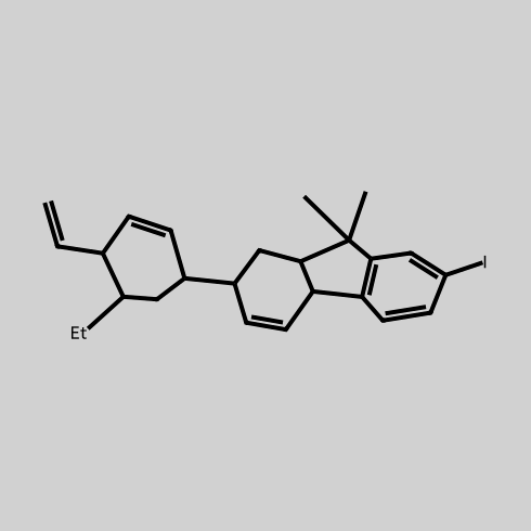 C=CC1C=CC(C2C=CC3c4ccc(I)cc4C(C)(C)C3C2)CC1CC